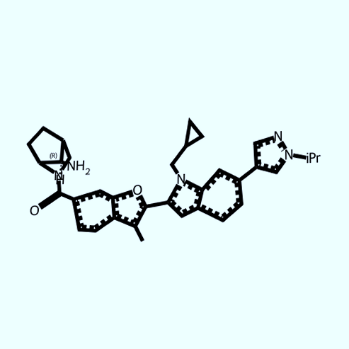 Cc1c(-c2cc3ccc(-c4cnn(C(C)C)c4)cc3n2CC2CC2)oc2cc(C(=O)N3CC4CCC3[C@@H]4N)ccc12